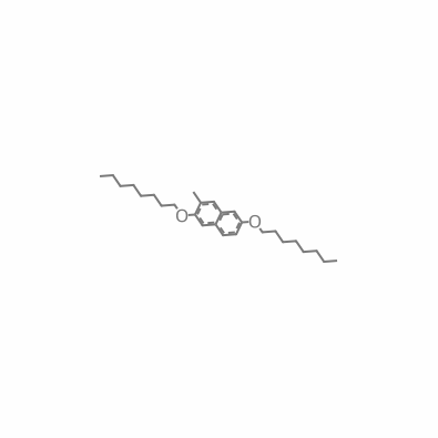 CCCCCCCCOc1ccc2cc(OCCCCCCCC)c(C)cc2c1